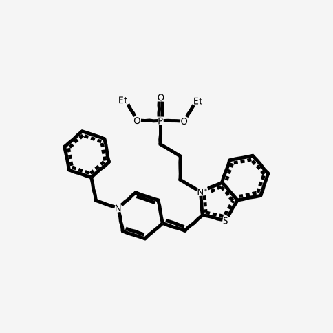 CCOP(=O)(CCC[n+]1c(C=C2C=CN(Cc3ccccc3)C=C2)sc2ccccc21)OCC